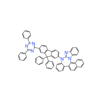 c1ccc(-c2nc(-c3ccccc3)nc(-c3ccc4c(c3)C(c3ccccc3)(c3ccccc3)c3cc(N5c6ccccc6-c6ccc7ccccc7c6-n6c5nc5ccccc56)ccc3-4)n2)cc1